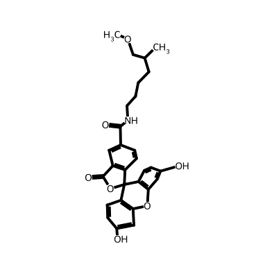 COCC(C)CCCCNC(=O)c1ccc2c(c1)C(=O)OC21c2ccc(O)cc2Oc2cc(O)ccc21